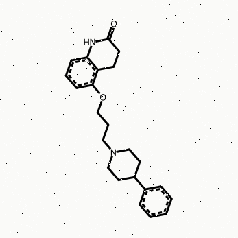 O=C1CCc2c(cccc2OCCCN2CCC(c3ccccc3)CC2)N1